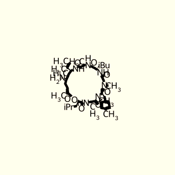 C/C=C(\C)[C@H]1NC(=O)[C@@H](C)NC(=O)[C@H](C(C)CC)NC(=O)CN(C)C(=O)[C@@H](Cc2ccc(C)cc2)N(C)C(=O)[C@H](C)NC(=O)[C@@H](CC(C)C)OC(=O)/C(C)=C/C[C@H](N)[C@@H]1C